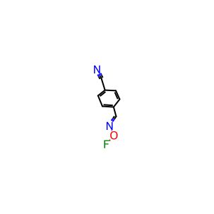 N#Cc1ccc(C=NOF)cc1